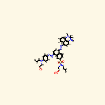 CCCCN(CCO)S(=O)(=O)c1ccc2c(c1)C(N=Nc1ccc(N(CCC)CCO)cc1)=CCC2N=Nc1ccc2c3c(cccc13)N(C)C(C)(C)N2C